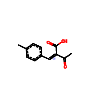 CC(=O)/C(=C/c1ccc(C)cc1)C(=O)O